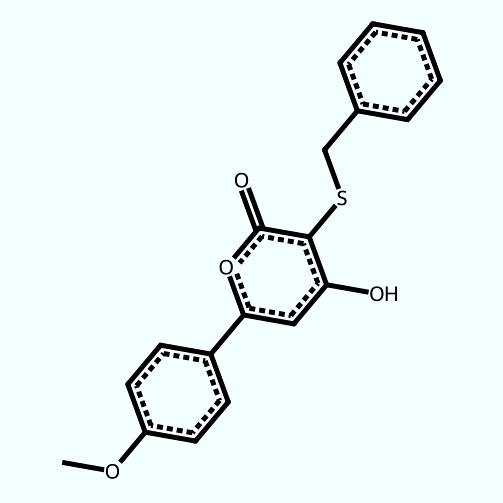 COc1ccc(-c2cc(O)c(SCc3ccccc3)c(=O)o2)cc1